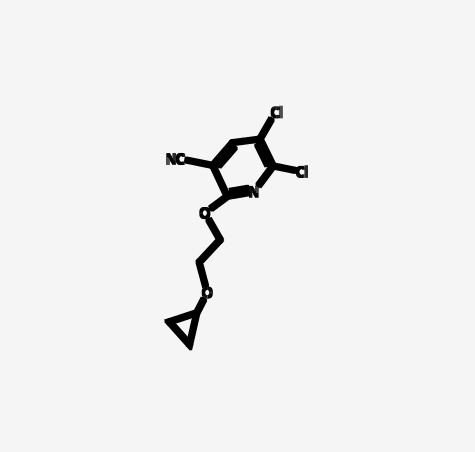 N#Cc1cc(Cl)c(Cl)nc1OCCOC1CC1